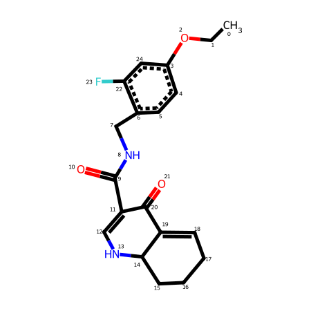 CCOc1ccc(CNC(=O)C2=CNC3CCCC=C3C2=O)c(F)c1